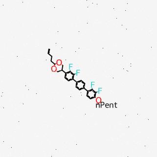 C=CCCC1OCC(c2ccc(-c3ccc(-c4ccc(OCCCCC)c(F)c4F)cc3)c(F)c2F)CO1